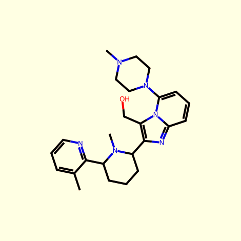 Cc1cccnc1C1CCCC(c2nc3cccc(N4CCN(C)CC4)n3c2CO)N1C